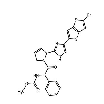 COC(=O)NC(C(=O)N1CC=CC1c1nc(-c2cc3sc(Br)cc3s2)c[nH]1)c1ccccc1